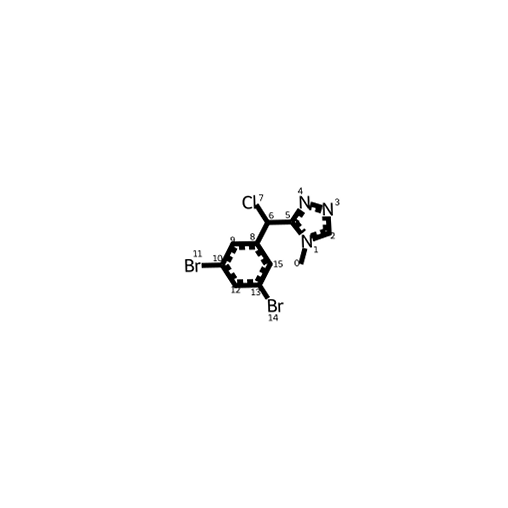 Cn1cnnc1C(Cl)c1cc(Br)cc(Br)c1